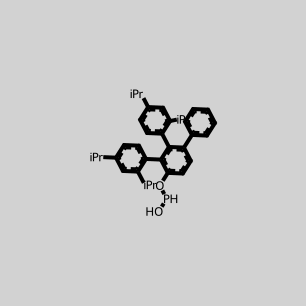 CC(C)c1ccc(-c2c(OPO)ccc(-c3ccccc3)c2-c2ccc(C(C)C)cc2C(C)C)c(C(C)C)c1